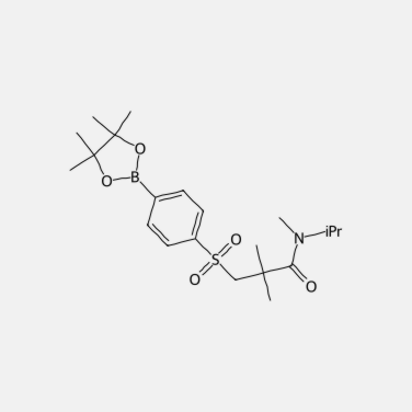 CC(C)N(C)C(=O)C(C)(C)CS(=O)(=O)c1ccc(B2OC(C)(C)C(C)(C)O2)cc1